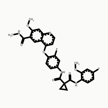 CNC(=O)c1cc2c(Oc3ccc(NC(=O)C4(C(=O)Nc5ccc(F)cc5OC)CC4)cc3F)ccnc2cc1OC